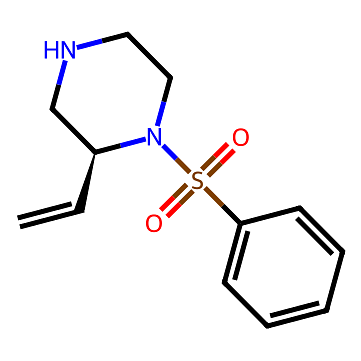 C=C[C@H]1CNCCN1S(=O)(=O)c1ccccc1